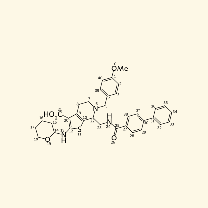 COc1ccc(CN2CCc3c(sc(NC4CCCCO4)c3C(=O)O)C2CNC(=O)c2ccc(-c3ccccc3)cc2)cc1